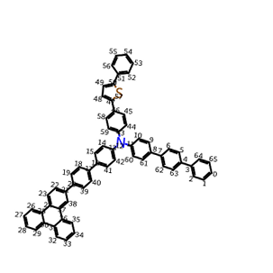 c1ccc(-c2ccc(-c3ccc(N(c4ccc(-c5ccc(-c6ccc7c8ccccc8c8ccccc8c7c6)cc5)cc4)c4ccc(-c5ccc(-c6ccccc6)s5)cc4)cc3)cc2)cc1